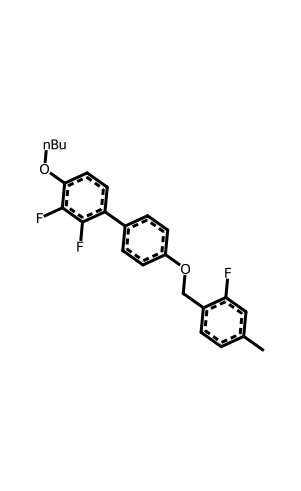 CCCCOc1ccc(-c2ccc(OCc3ccc(C)cc3F)cc2)c(F)c1F